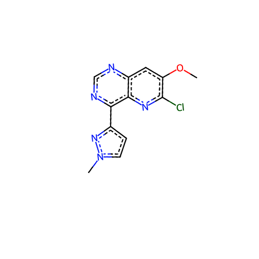 COc1cc2ncnc(-c3ccn(C)n3)c2nc1Cl